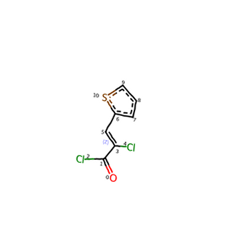 O=C(Cl)/C(Cl)=C/c1cccs1